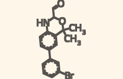 CC1(C)OC(C=O)Nc2ccc(-c3cccc(Br)c3)cc21